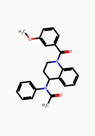 COc1cccc(C(=O)N2CCC(N(C(C)=O)c3ccccc3)c3ccccc32)c1